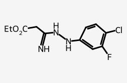 CCOC(=O)CC(=N)NNc1ccc(Cl)c(F)c1